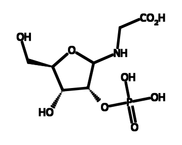 O=C(O)CNC1O[C@H](CO)[C@@H](O)[C@H]1OP(=O)(O)O